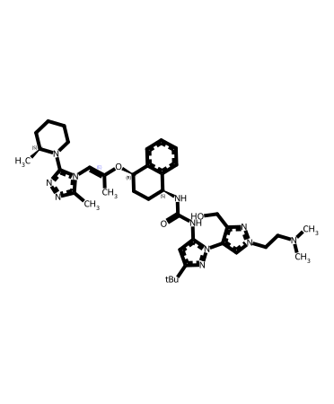 C/C(=C\n1c(C)nnc1N1CCCC[C@@H]1C)O[C@@H]1CC[C@H](NC(=O)Nc2cc(C(C)(C)C)nn2-c2cn(CCN(C)C)nc2CO)c2ccccc21